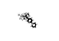 CNC(=O)C(OC)(OC)c1ccc(N2CCCCC2)nc1